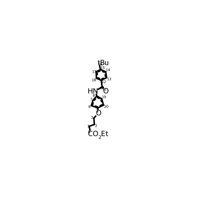 CCOC(=O)CCCOc1ccc(NC(=O)c2ccc(C(C)(C)C)cc2)cc1